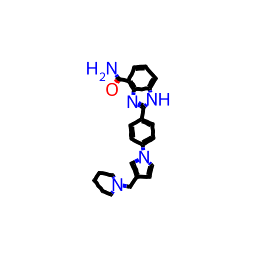 NC(=O)c1cccc2[nH]c(-c3ccc(-n4ccc(CN5CCCCC5)c4)cc3)nc12